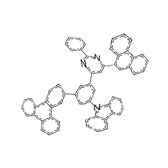 c1ccc(-c2nc(-c3cc(-c4ccc5c6ccccc6c6ccccc6c5c4)cc(-n4c5ccccc5c5ccccc54)c3)cc(-c3cc4ccccc4c4ccccc34)n2)cc1